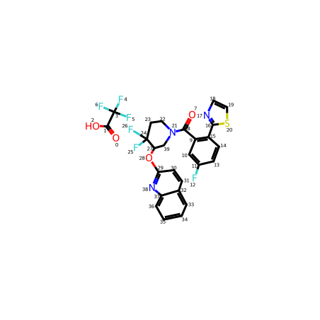 O=C(O)C(F)(F)F.O=C(c1cc(F)ccc1-c1nccs1)N1CCC(F)(F)C(Oc2ccc3ccccc3n2)C1